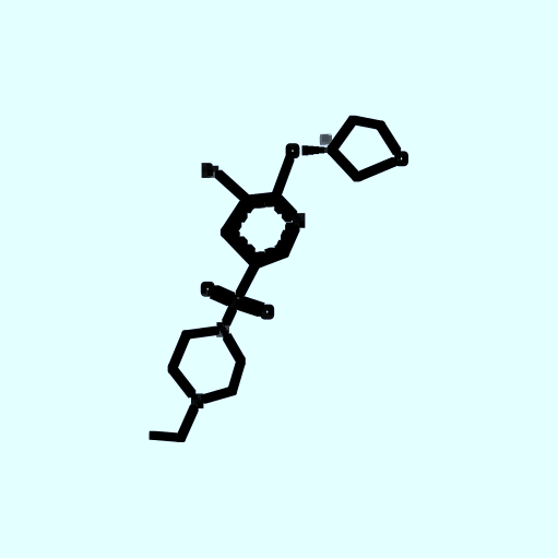 CCN1CCN(S(=O)(=O)c2cnc(O[C@@H]3CCOC3)c(Br)c2)CC1